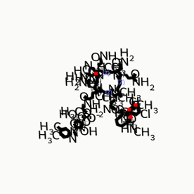 C/C1=C2N=C(/C=C3N=C(/C(C)=C4/[C@@H](CCC(N)=O)[C@](C)(CC(N)=O)[C@](C)([C@@H]5N=C1[C@](C)(CCC(=O)NCC(C)OP(=O)([O-])O[C@H]1[C@@H](O)[C@@H](n6cnc7cc(C)c(C)cc76)O[C@@H]1CO)[C@H]5CC(N)=O)[N]4[Co+][C]#N)[C@@](C)(CC(N)=O)[C@@H]\3CCC(N)=O)C(C)(C)[C@@H]/2CCC(N)=O.CNC[C@H]1CN(CCOC)C(=O)[C@@H]2CCC[C@H]1N2S(=O)(=O)c1cc(Cl)cc(Cl)c1